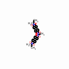 CCCC(C)N1C(=O)c2ccc3c4ccc5c6c(ccc(c7ccc(c2c37)C1=O)c64)C(=O)N(C(CC)N1C(=O)c2ccc3c4ccc6c7c(ccc(c8ccc(c2c38)C1=O)c74)C(=O)N(C(C)CCC)C6=O)C5=O